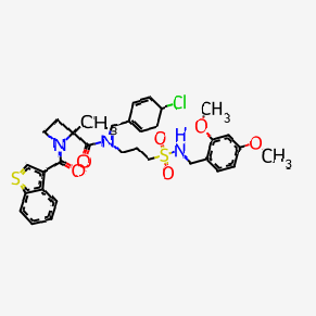 COc1ccc(CNS(=O)(=O)CCCN(CC2=CCC(Cl)C=C2)C(=O)C2(C)CCN2C(=O)c2csc3ccccc23)c(OC)c1